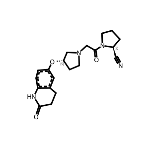 N#C[C@@H]1CCCN1C(=O)CN1CC[C@H](Oc2ccc3c(c2)CCC(=O)N3)C1